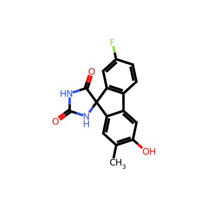 Cc1cc2c(cc1O)-c1ccc(F)cc1C21NC(=O)NC1=O